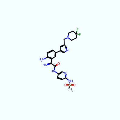 CS(=O)(=O)Nc1ccc(NC(=O)C(=N)c2cc(-c3cncc(CN4CCC(F)(F)CC4)c3)ccc2N)cn1